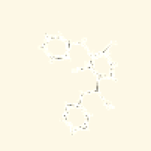 NC(Cc1ccncc1)c1ccc(F)c(Oc2ccccc2)c1F